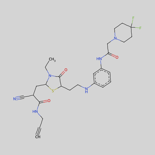 C#CCNC(=O)C(C#N)CC1SC(CCNc2cccc(NC(=O)CN3CCC(F)(F)CC3)c2)C(=O)N1CC